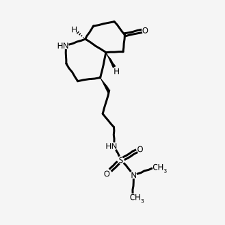 CN(C)S(=O)(=O)NCCC[C@H]1CCN[C@H]2CCC(=O)C[C@H]12